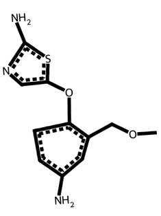 COCc1cc(N)ccc1Oc1cnc(N)s1